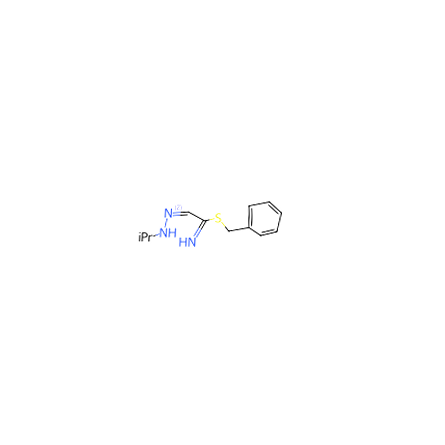 CC(C)N/N=C\C(=N)SCc1ccccc1